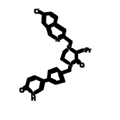 CCCC1C(=O)N(Cc2ccc(-c3ccc(=O)[nH]c3)cc2)CCN1Cc1cc2ccc(Cl)cc2cn1